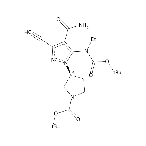 C#Cc1nn([C@H]2CCN(C(=O)OC(C)(C)C)C2)c(N(CC)C(=O)OC(C)(C)C)c1C(N)=O